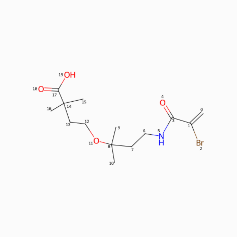 C=C(Br)C(=O)NCCC(C)(C)OCCC(C)(C)C(=O)O